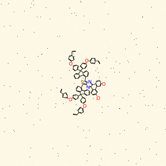 C=Cc1ccc(Oc2ccc(C3(c4ccc(Oc5ccc(C=C)cc5)cc4)c4ccccc4-c4c(-c5sc(-c6cccc7c6-c6ccccc6C7(c6ccc(Oc7ccc(C=C)cc7)cc6)c6ccc(Oc7ccc(C=C)cc7)cc6)c6nc7c8ccc(OC)cc8c8cc(OC)ccc8c7nc56)cccc43)cc2)cc1